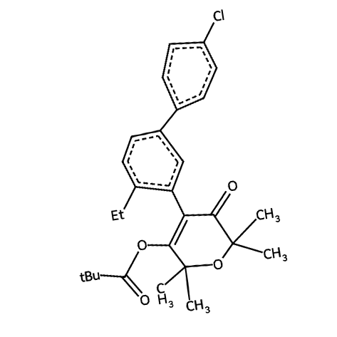 CCc1ccc(-c2ccc(Cl)cc2)cc1C1=C(OC(=O)C(C)(C)C)C(C)(C)OC(C)(C)C1=O